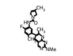 CNc1ncc2cc(-c3cc(NC(=O)N4CC=C(C)C4)c(F)cc3C)c(C)nc2n1